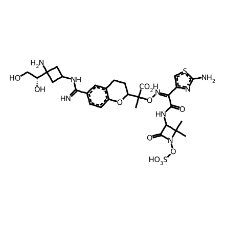 CC(ON=C(C(=O)NC1C(=O)N(OS(=O)(=O)O)C1(C)C)c1csc(N)n1)(C(=O)O)C1CCc2cc(C(=N)NC3CC(N)([C@H](O)CO)C3)ccc2O1